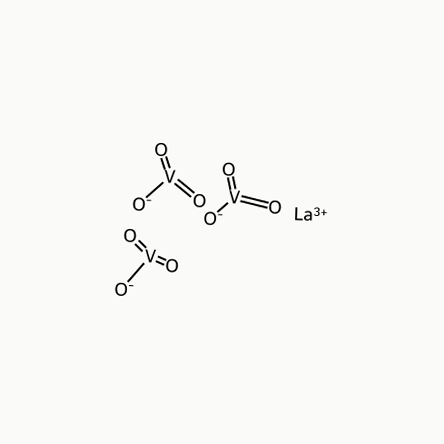 [La+3].[O]=[V](=[O])[O-].[O]=[V](=[O])[O-].[O]=[V](=[O])[O-]